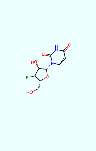 O=c1ccn([C@@H]2O[C@H](CO)C(F)[C@H]2O)c(=O)[nH]1